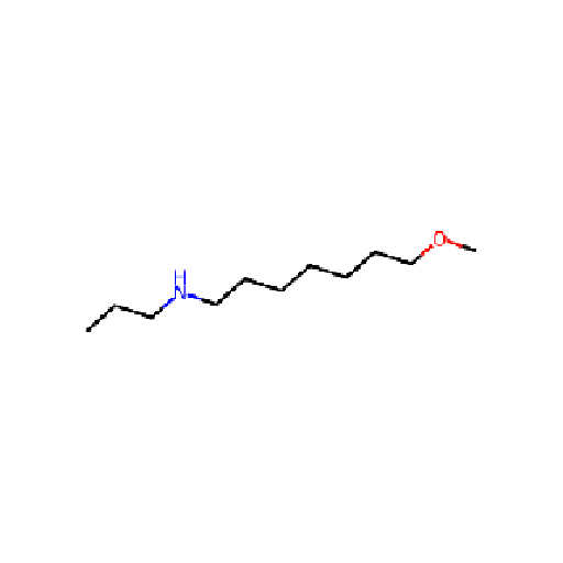 CCCNCCCCCCCOC